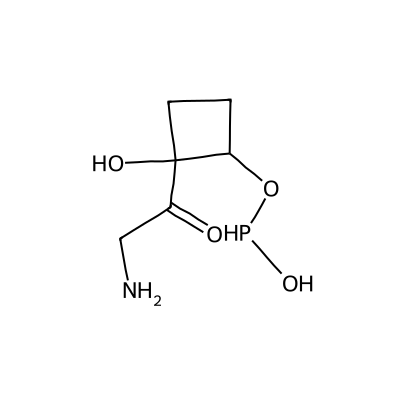 NCC(=O)C1(O)CCC1OPO